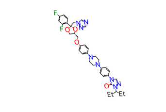 CCC(CC)n1ncn(-c2ccc(N3CCN(c4ccc(OC[C@H]5COC(Cn6cncn6)(c6ccc(F)cc6F)O5)cc4)CC3)cc2)c1=O